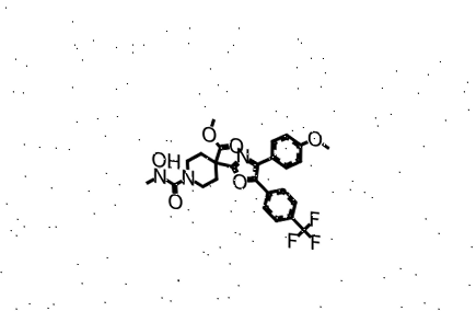 COC(=O)C1(c2nc(-c3ccc(OC)cc3)c(-c3ccc(C(F)(F)F)cc3)o2)CCN(C(=O)N(C)O)CC1